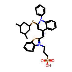 CC1CC(C)CC(SC2=C/C(=C\c3sc4ccccc4[n+]3CCCS(=O)(=O)O)c3ccccc3N2c2ccccc2)C1